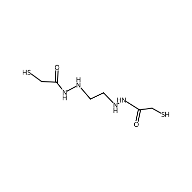 O=C(CS)NNCCNNC(=O)CS